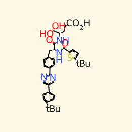 CC(C)(C)c1ccc(-c2cnc(-c3ccc(C[C@H](NC(=O)c4ccc(C(C)(C)C)s4)C(=O)N[C@H](CCC(=O)O)C(O)O)cc3)nc2)cc1